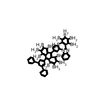 Bc1c(B)c(B)c(-c2nc3ccccc3n2-c2cccc(-c3c4c(B)c(B)c(B)c(B)c4c(-c4cc(-c5ccccc5)cc(-c5ccccc5)c4)c4c(B)c(B)c(B)c(B)c34)c2)c(B)c1B